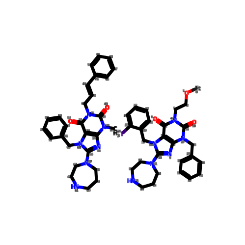 CCOCCn1c(=O)c2c(nc(N3CCCNCC3)n2Cc2ccccc2I)n(Cc2ccccc2)c1=O.Cn1c(=O)n(CC=Cc2ccccc2)c(=O)c2c1nc(N1CCCNCC1)n2Cc1ccccc1